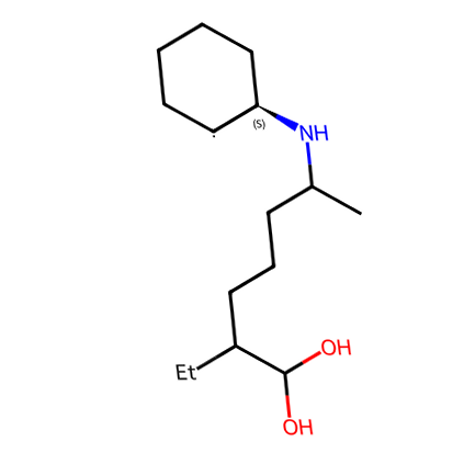 CCC(CCCC(C)N[C@H]1[CH]CCCC1)C(O)O